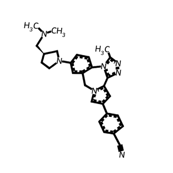 Cc1nnc2n1-c1ccc(N3CC[C@@H](CN(C)C)C3)cc1Cn1cc(-c3ccc(C#N)cc3)cc1-2